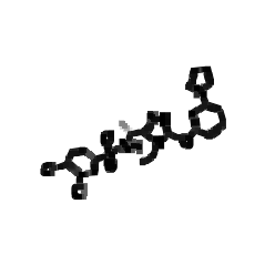 CCn1c(Oc2cccc(-n3cccc3)c2)nnc1[C@@H](C)NS(=O)(=O)c1ccc(Cl)c(Cl)c1